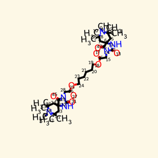 CN1C(C)(C)CC2(CC1(C)C)NC(=O)N(CC(=O)OCCCCCCOC(=O)CN1C(=O)NC3(CC(C)(C)N(C)C(C)(C)C3)C1=O)C2=O